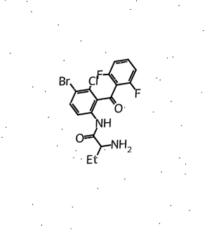 CCC(N)C(=O)Nc1ccc(Br)c(Cl)c1C(=O)c1c(F)cccc1F